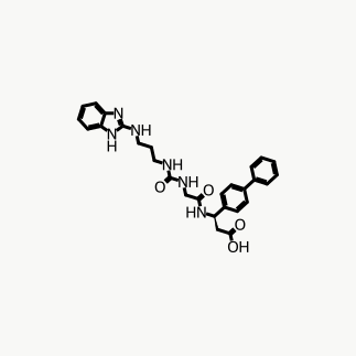 O=C(O)C[C@@H](NC(=O)CNC(=O)NCCCNc1nc2ccccc2[nH]1)c1ccc(-c2ccccc2)cc1